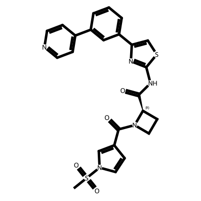 CS(=O)(=O)n1ccc(C(=O)N2CC[C@@H]2C(=O)Nc2nc(-c3cccc(-c4ccncc4)c3)cs2)c1